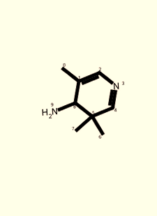 CC1=CN=CC(C)(C)C1N